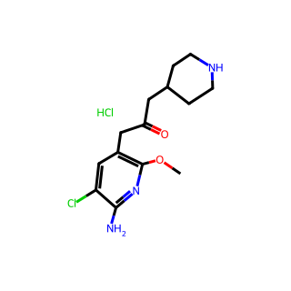 COc1nc(N)c(Cl)cc1CC(=O)CC1CCNCC1.Cl